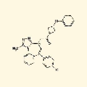 Cc1nnc2n1-c1ccccc1C(c1ccc(Cl)cc1)=C[C@H]2CC(=O)N1CC(Oc2ccccc2)C1